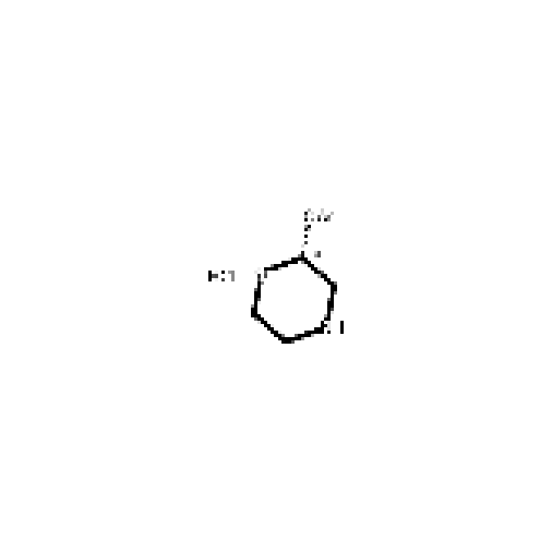 CC(=O)O[C@@H]1CNCCO1.Cl